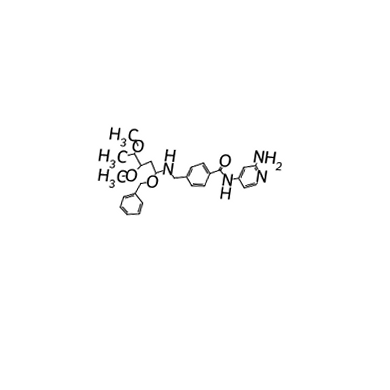 COC(C)C(CC(NCc1ccc(C(=O)Nc2ccnc(N)c2)cc1)OCc1ccccc1)OC